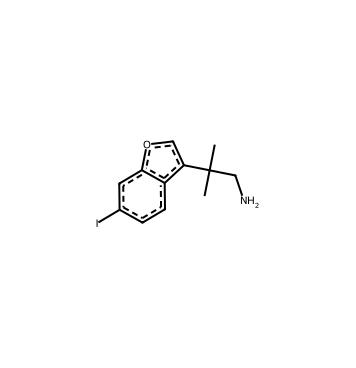 CC(C)(CN)c1coc2cc(I)ccc12